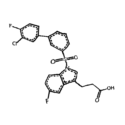 O=C(O)CCc1cn(S(=O)(=O)c2cccc(-c3ccc(F)c(Cl)c3)c2)c2ccc(F)cc12